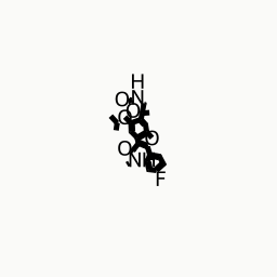 CNC(=O)c1c(-c2ccc(F)cc2)oc2cc(C3(C)CNC(=O)O3)c(OC(C)C)cc12